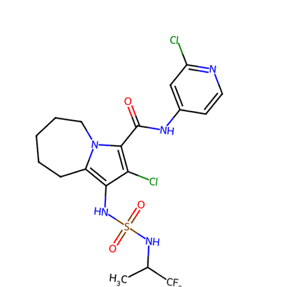 CC(NS(=O)(=O)Nc1c(Cl)c(C(=O)Nc2ccnc(Cl)c2)n2c1CCCCC2)C(F)(F)F